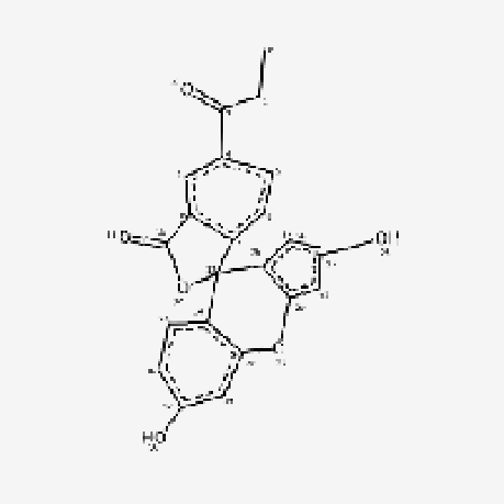 CCC(=O)c1ccc2c(c1)C(=O)OC21c2ccc(O)cc2Oc2cc(O)ccc21